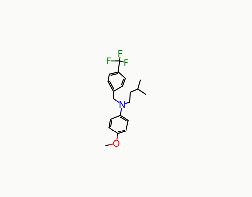 COc1ccc(N(CCC(C)C)Cc2ccc(C(F)(F)F)cc2)cc1